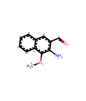 COc1c(N)c(C=O)cc2ccccc12